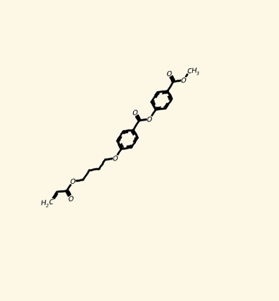 C=CC(=O)OCCCCOc1ccc(C(=O)Oc2ccc(C(=O)OC)cc2)cc1